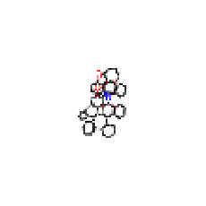 c1ccc(-c2ccccc2N(c2ccc3c(c2)C2(c4ccccc4-c4ccccc4-3)c3ccccc3-c3cc4oc5ccccc5c4cc32)c2cccc3oc4ccccc4c23)cc1